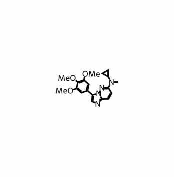 COc1cc(-c2cnc3ccc(N(C)C4CC4)nn23)cc(OC)c1OC